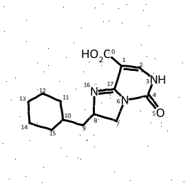 O=C(O)C1=CNC(=O)N2CC(CC3CCCCC3)N=C12